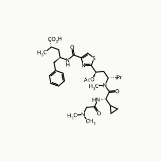 CC(=O)O[C@H](C[C@H](C(C)C)N(C)C(=O)[C@@H](NC(=O)CN(C)C)C1CC1)c1nc(C(=O)N[C@@H](Cc2ccccc2)C[C@H](C)C(=O)O)cs1